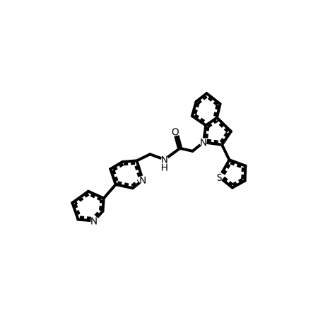 O=C(Cn1c(-c2cccs2)cc2ccccc21)NCc1ccc(-c2cccnc2)cn1